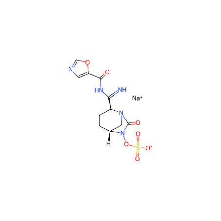 N=C(NC(=O)c1cnco1)[C@@H]1CC[C@@H]2CN1C(=O)N2OS(=O)(=O)[O-].[Na+]